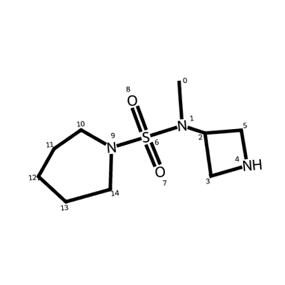 CN(C1CNC1)S(=O)(=O)N1CC[CH]CC1